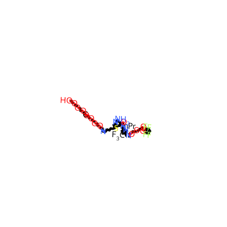 CCCN(Cc1cc(C(F)(F)F)c(CN(C)COCCOCCC(=O)Oc2c(F)c(F)cc(F)c2F)cn1)C(=O)C1=Cc2sc(CCCCCN(C)CCOCCOCCOCCOCCOCCOCCOCCO)cc2N=C(N)C1